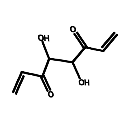 C=CC(=O)C(O)C(O)C(=O)C=C